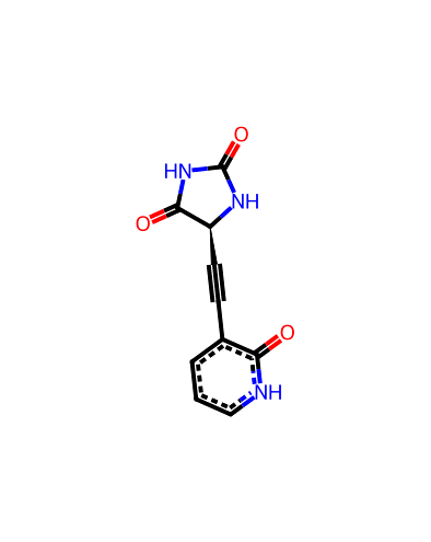 O=C1NC(=O)[C@H](C#Cc2ccc[nH]c2=O)N1